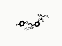 CNC(CCOc1ccc(F)cc1)c1cccc(OC(=O)N(C)C)c1